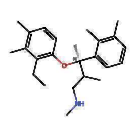 CCc1c(O[C@@](C)(c2cccc(C)c2C)C(C)CNC)ccc(C)c1C